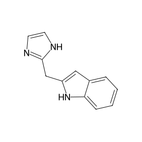 c1ccc2[nH]c(Cc3ncc[nH]3)cc2c1